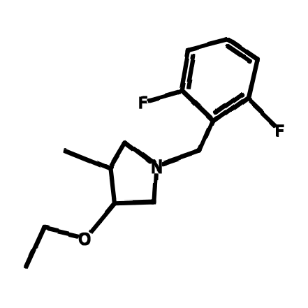 CCOC1CN(Cc2c(F)cccc2F)CC1C